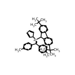 Cc1ccc([C](c2ccc(C)cc2)=[Zr]([CH]2C=CC=C2)[CH]2c3cc(C(C)(C)C)ccc3-c3ccc(C(C)(C)C)cc32)cc1